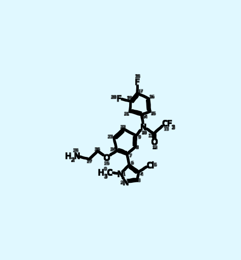 Cn1ncc(Cl)c1-c1cc(N(C(=O)C(F)(F)F)c2ccc(F)c(F)c2)ccc1OCCN